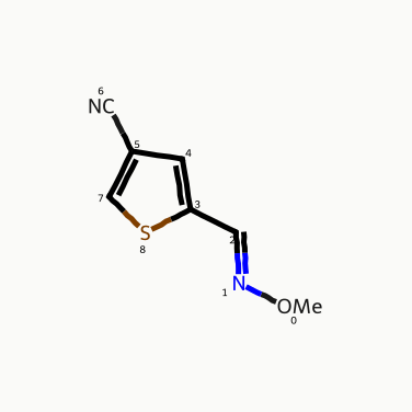 CON=Cc1cc(C#N)cs1